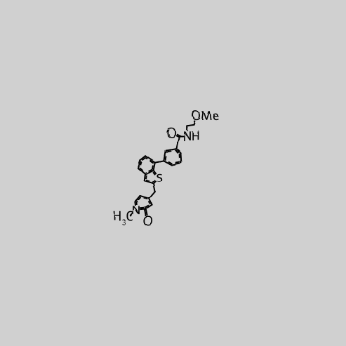 COCCNC(=O)c1cccc(-c2cccc3cc(Cc4ccn(C)c(=O)c4)sc23)c1